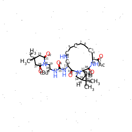 CC(=O)C(=O)[C@@H]1CCCCCCCNC[C@H](NC(=O)N[C@H](CN2C(=O)CC(C)(C)CC2=O)C(C)(C)C)C(=O)N2C[C@H]3[C@@H]([C@H]2C(=O)N1)C3(C)C